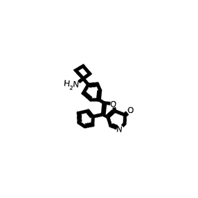 NC1(c2ccc(-c3oc4c(c3-c3ccccc3)C=NCC4=O)cc2)CCC1